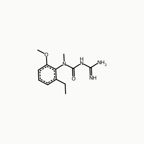 CCc1cccc(OC)c1N(C)C(=O)NC(=N)N